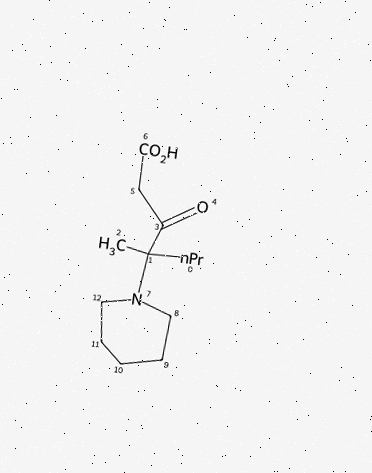 CCCC(C)(C(=O)CC(=O)O)N1CCCCC1